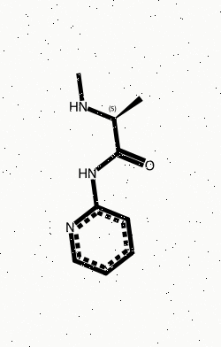 CN[C@@H](C)C(=O)Nc1ccccn1